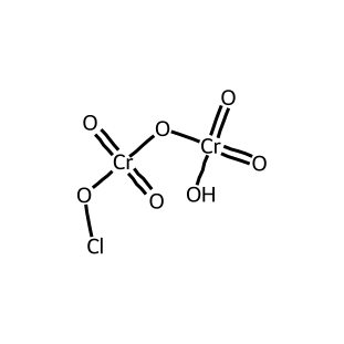 [O]=[Cr](=[O])([OH])[O][Cr](=[O])(=[O])[O]Cl